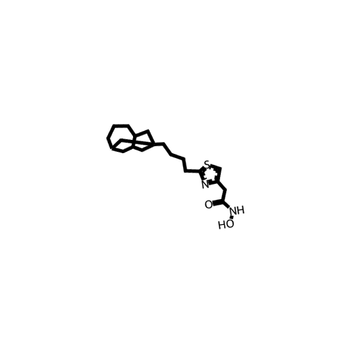 O=C(Cc1csc(CCCCC23CC4CCCC(C2)C(C4)C3)n1)NO